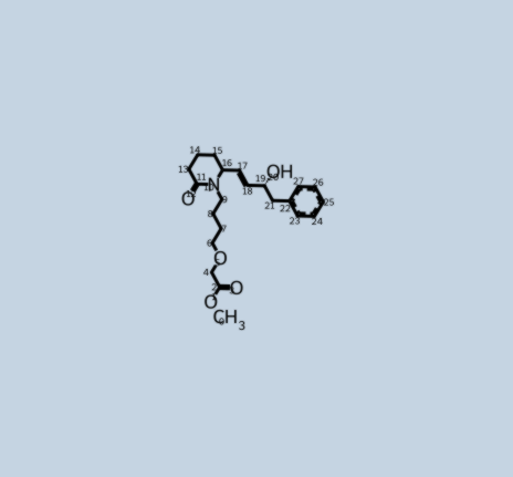 COC(=O)COCCCCN1C(=O)CCCC1/C=C/[C@H](O)Cc1ccccc1